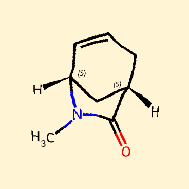 CN1C(=O)[C@H]2CC=C[C@@H]1C2